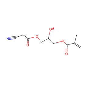 C=C(C)C(=O)OCC(O)COC(=O)CC#N